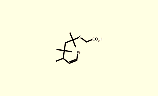 CC/C=C\C(C)C(C)(C)CC(C)(C)SCC(=O)O